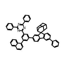 c1ccc(-c2ccc3c(c2)-c2ccc(-c4cc(-c5nc(-c6ccccc6)nc(-c6ccccc6)n5)cc(-c5cccc6ccccc56)c4)cc2C32C3CC4CC(C3)CC2C4)cc1